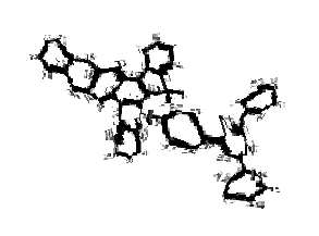 CC1(C)c2ccccc2-c2c1c1c(c3cc4c(cc23)Cc2ccccc2C4)c2ccccc2n1-c1ccc(-c2cc(-c3ccccn3)nc(-c3ccccc3)n2)cc1